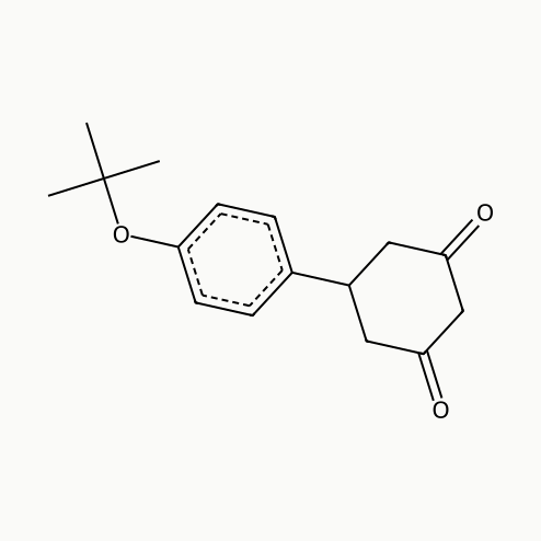 CC(C)(C)Oc1ccc(C2CC(=O)CC(=O)C2)cc1